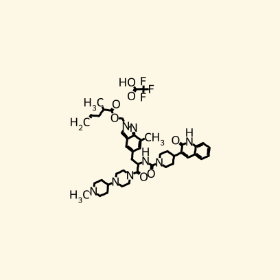 C=CCC(C)C(=O)OCn1cc2cc(CC(NC(=O)N3CCC(c4cc5ccccc5[nH]c4=O)CC3)C(=O)N3CCN(C4CCN(C)CC4)CC3)cc(C)c2n1.O=C(O)C(F)(F)F